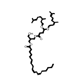 CCCCC/C=C\C/C=C\CCCCCCCC(=O)OCC(CO)COC(=O)CCC(OCCC(C)CCC=C(C)C)OCCC(C)CCC=C(C)C